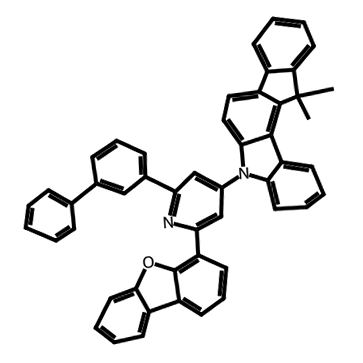 CC1(C)c2ccccc2-c2ccc3c(c21)c1ccccc1n3-c1cc(-c2cccc(-c3ccccc3)c2)nc(-c2cccc3c2oc2ccccc23)c1